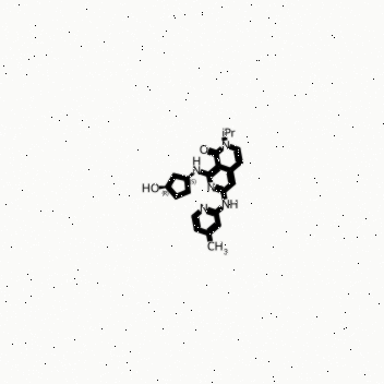 Cc1ccnc(Nc2cc3ccn(C(C)C)c(=O)c3c(N[C@H]3CC[C@@H](O)C3)n2)c1